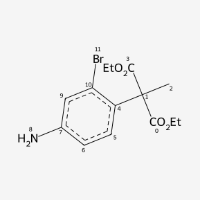 CCOC(=O)C(C)(C(=O)OCC)c1ccc(N)cc1Br